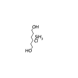 OCCCCCCO.[SiH3]Cl